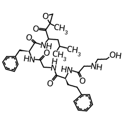 CC(C)CC(NC(=O)[C@H](Cc1ccccc1)NC(=O)CNC(=O)[C@H](CCc1ccccc1)NC(=O)CNCCO)C(=O)C1(C)CO1